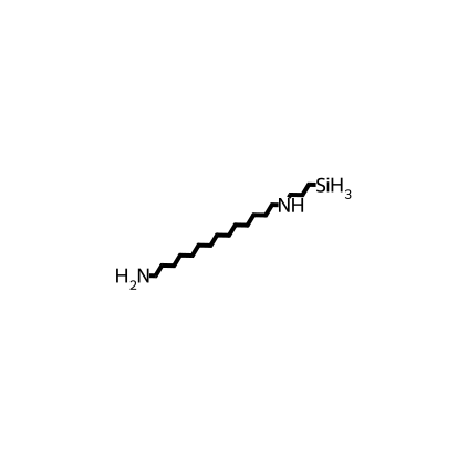 NCCCCCCCCCCCCCCNCCC[SiH3]